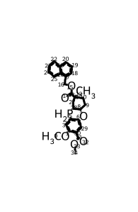 COc1cc(P)c(O[C@H]2CC[C@@](C)(C(=O)OCc3cccc4ccccc34)CC2)cc1C(=O)OI